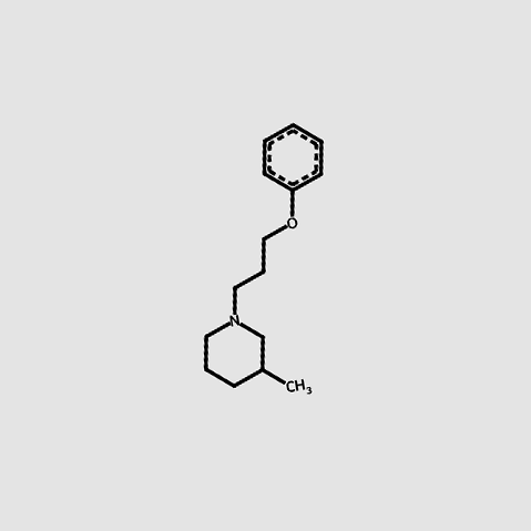 CC1CCCN(CCCOc2ccccc2)C1